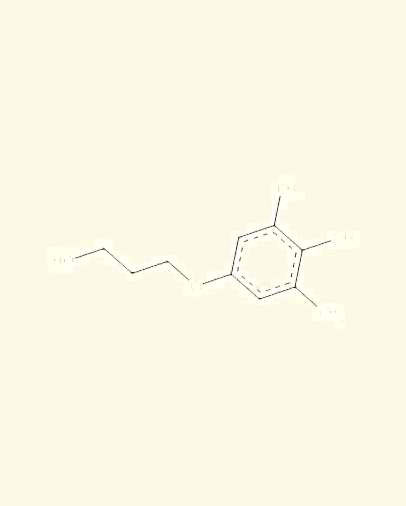 Cc1cc(OCCCO)cc(C)c1O